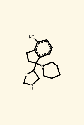 N#Cc1cccc2c1CCC2(C1CNCO1)N1CCCCC1